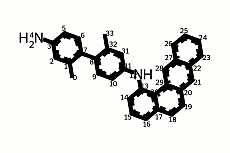 Cc1cc(N)ccc1-c1ccc(Nc2cccc3ccc4cc5ccccc5cc4c23)cc1C